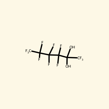 OC(O)(C(F)(F)F)C(F)(F)C(F)(F)C(F)(F)C(F)(F)F